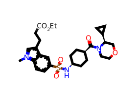 CCOC(=O)CCc1cn(C)c2ccc(S(=O)(=O)N[C@H]3CC[C@H](C(=O)N4CCOC[C@@H]4C4CC4)CC3)cc12